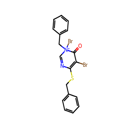 O=C1C(Br)=C(SCc2ccccc2)N=C[N+]1(Br)Cc1ccccc1